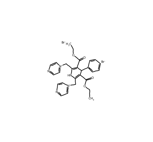 CCOC(=O)C1=C(C[n+]2ccncc2)NC(C[n+]2ccncc2)=C(C(=O)OCC)C1c1ccccc1.[Br-].[Br-]